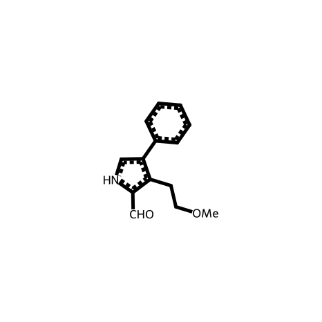 COCCc1c(-c2ccccc2)c[nH]c1C=O